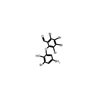 Bc1cc(Br)c(O)c(Oc2c(Br)c(Br)c(Br)c(Br)c2C=O)c1